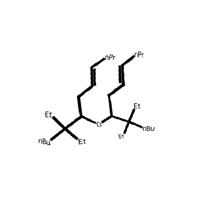 CCCC=CCC(OC(CC=CCCC)C(CC)(CC)CCCC)C(CC)(CC)CCCC